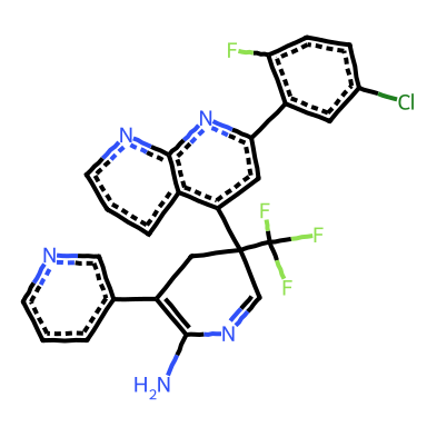 NC1=C(c2cccnc2)CC(c2cc(-c3cc(Cl)ccc3F)nc3ncccc23)(C(F)(F)F)C=N1